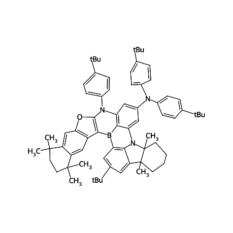 CC(C)(C)c1ccc(N(c2ccc(C(C)(C)C)cc2)c2cc3c4c(c2)N2c5c(cc(C(C)(C)C)cc5C5(C)CCCCC25C)B4c2c(oc4cc5c(cc24)C(C)(C)CCC5(C)C)N3c2ccc(C(C)(C)C)cc2)cc1